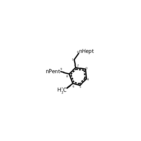 CCCCCCCCc1[c]ccc(C)c1CCCCC